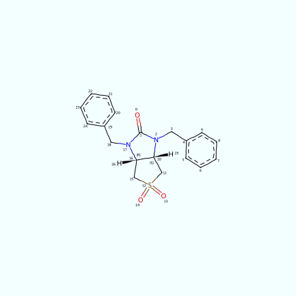 O=C1N(Cc2ccccc2)[C@@H]2CS(=O)(=O)C[C@@H]2N1Cc1ccccc1